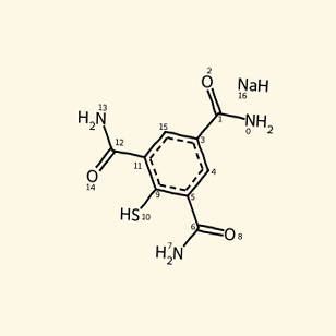 NC(=O)c1cc(C(N)=O)c(S)c(C(N)=O)c1.[NaH]